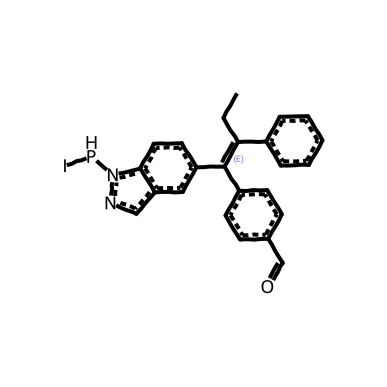 CC/C(=C(/c1ccc(C=O)cc1)c1ccc2c(cnn2PI)c1)c1ccccc1